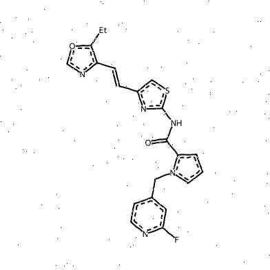 CCc1ocnc1/C=C/c1csc(NC(=O)c2cccn2Cc2ccnc(F)c2)n1